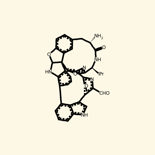 CC(C)[C@@H]1NC(=O)[C@@H](N)Cc2ccc3c(c2)C24c5cccc(c5NC2O3)-c2cccc3[nH]cc(c23)-c2oc(nc2C=O)-c2nc1oc24